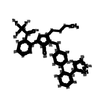 CCCCc1cn(-c2ccccc2C(=O)C(F)(F)F)c(=O)n1Cc1ccc(-c2ncccc2-c2nnn[nH]2)cc1